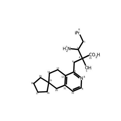 CC(C)CC(N)C(O)(Cc1nccc2c1CCC1(CCCC1)C2)C(=O)O